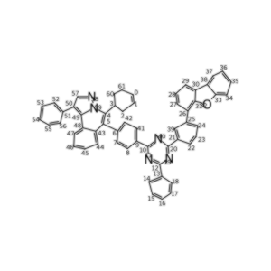 C1=CCC(c2c(-c3ccc(-c4nc(-c5ccccc5)nc(-c5cccc(-c6cccc7c6oc6ccccc67)c5)n4)cc3)c3ccccc3c3c(-c4ccccc4)cnn23)CC1